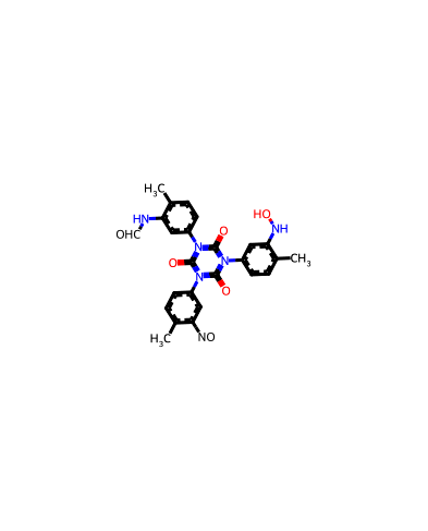 Cc1ccc(-n2c(=O)n(-c3ccc(C)c(NO)c3)c(=O)n(-c3ccc(C)c(NC=O)c3)c2=O)cc1N=O